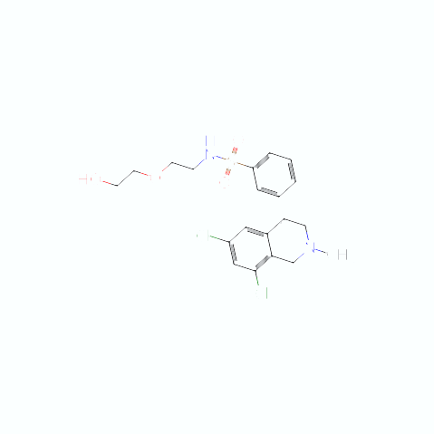 CN1Cc2c(Cl)cc(Cl)cc2[C@H](c2cccc(S(=O)(=O)NCCOCCO)c2)C1